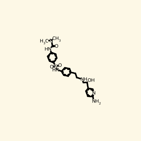 CN(C)C(=O)Nc1ccc(S(=O)(=O)Nc2ccc(CCNCC(O)c3ccc(N)nc3)cc2)cc1